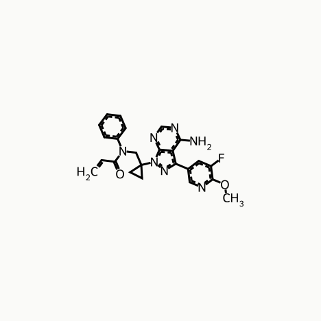 C=CC(=O)N(CC1(n2nc(-c3cnc(OC)c(F)c3)c3c(N)ncnc32)CC1)c1ccccc1